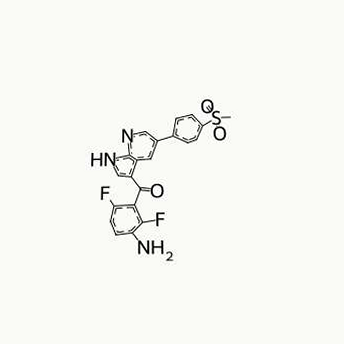 CS(=O)(=O)c1ccc(-c2cnc3[nH]cc(C(=O)c4c(F)ccc(N)c4F)c3c2)cc1